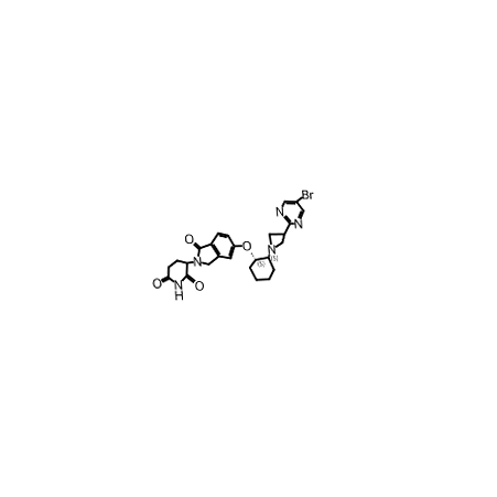 O=C1CCC(N2Cc3cc(O[C@H]4CCCC[C@@H]4N4CC(c5ncc(Br)cn5)C4)ccc3C2=O)C(=O)N1